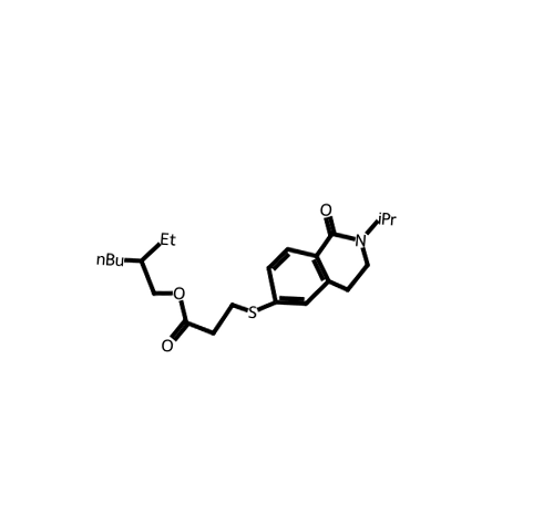 CCCCC(CC)COC(=O)CCSc1ccc2c(c1)CCN(C(C)C)C2=O